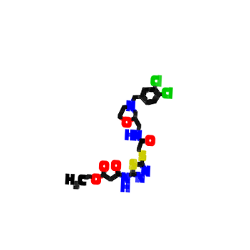 CCOC(=O)CC(=O)Nc1nnc(SCC(=O)NCC2CN(Cc3ccc(Cl)c(Cl)c3)CCO2)s1